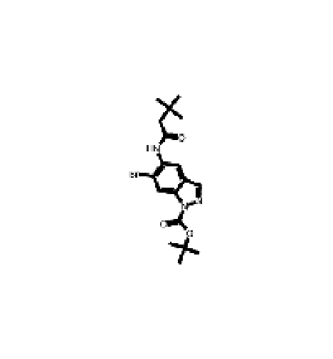 CC(C)(C)CC(=O)Nc1cc2cnn(C(=O)OC(C)(C)C)c2cc1Br